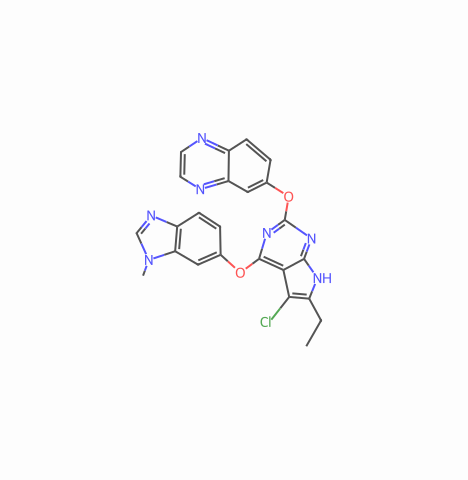 CCc1[nH]c2nc(Oc3ccc4nccnc4c3)nc(Oc3ccc4ncn(C)c4c3)c2c1Cl